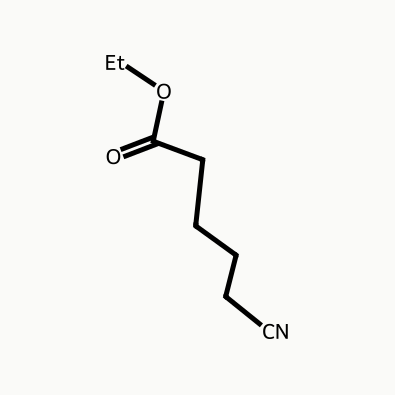 CCOC(=O)CCCCC#N